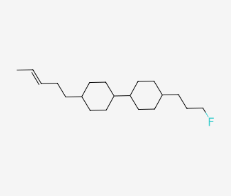 C/C=C/CCC1CCC(C2CCC(CCCF)CC2)CC1